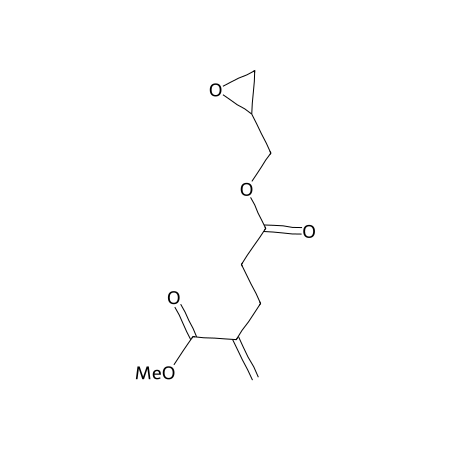 C=C(CCC(=O)OCC1CO1)C(=O)OC